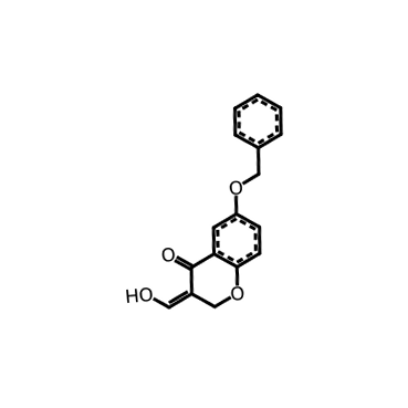 O=C1C(=CO)COc2ccc(OCc3ccccc3)cc21